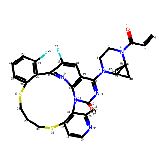 C=CC(=O)N1CCN(c2nc(=O)n3c4nc(c(F)cc24)-c2c(F)cccc2SCCCSc2ccnc(C(C)C)c2-3)C2C[C@H]21